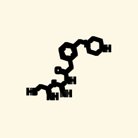 N=C(CS)SC(=N)NC(=O)Cc1cccc(CN2CCNCC2)c1